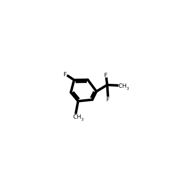 Cc1cc(F)cc(C(C)(F)F)c1